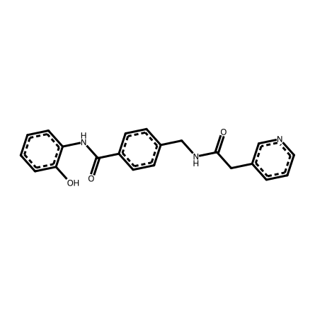 O=C(Cc1cccnc1)NCc1ccc(C(=O)Nc2ccccc2O)cc1